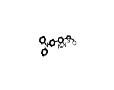 O=Cc1ccc(-c2ccc(-c3ccc(N(c4ccccc4)c4ccccc4)cc3)c3c2=NCN=3)s1